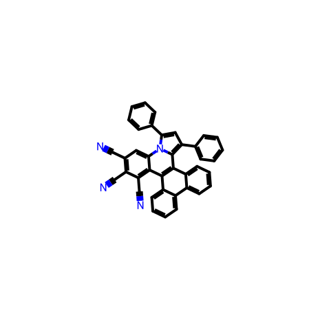 N#Cc1cc2c(c(C#N)c1C#N)c1c3ccccc3c3ccccc3c1c1c(-c3ccccc3)cc(-c3ccccc3)n21